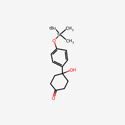 CC(C)(C)[Si](C)(C)Oc1ccc(C2(O)CCC(=O)CC2)cc1